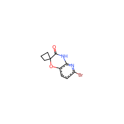 O=C1Nc2nc(Br)ccc2OC12CCC2